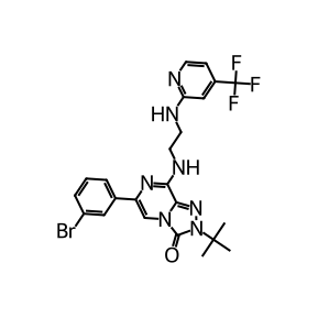 CC(C)(C)n1nc2c(NCCNc3cc(C(F)(F)F)ccn3)nc(-c3cccc(Br)c3)cn2c1=O